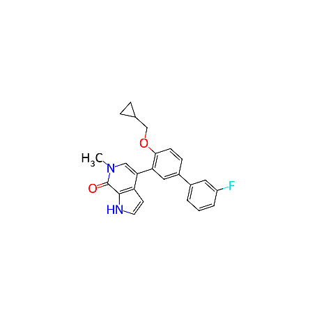 Cn1cc(-c2cc(-c3cccc(F)c3)ccc2OCC2CC2)c2cc[nH]c2c1=O